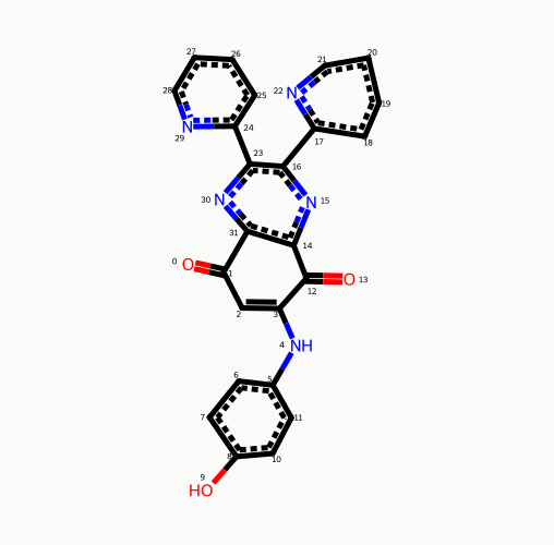 O=C1C=C(Nc2ccc(O)cc2)C(=O)c2nc(-c3ccccn3)c(-c3ccccn3)nc21